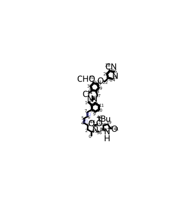 CC(CC/C=C\C=C\c1cccc2c1cnn2Cc1cc(OCc2cncc(C#N)c2)c(C=O)cc1Cl)N(C[C@@H]1CCC(=O)N1)C(=O)OC(C)(C)C